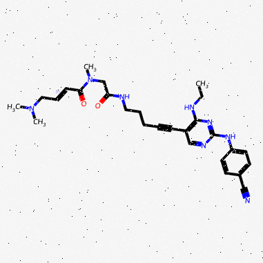 CCNc1nc(Nc2ccc(C#N)cc2)ncc1C#CCCCNC(=O)CN(C)C(=O)/C=C/CN(C)C